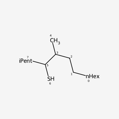 CCCCCCCCC(C)C(S)C(C)CCC